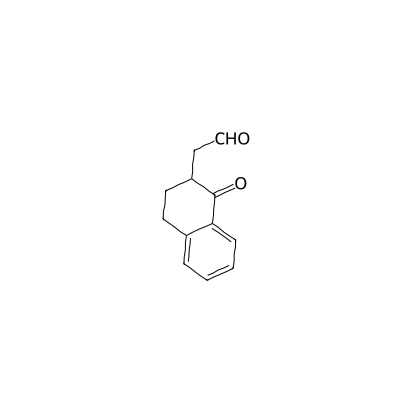 O=CCC1CCc2ccccc2C1=O